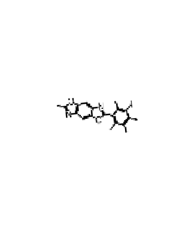 Cc1nc2cc3oc(-c4c(C)c(C)c(C)c(I)c4C)nc3cc2o1